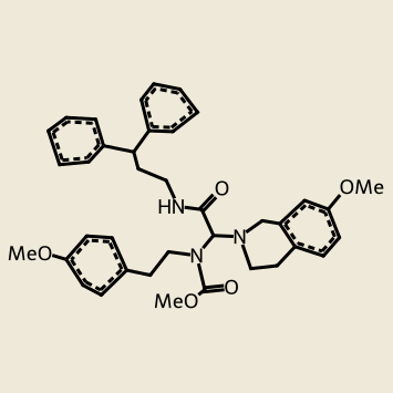 COC(=O)N(CCc1ccc(OC)cc1)C(C(=O)NCCC(c1ccccc1)c1ccccc1)N1CCc2ccc(OC)cc2C1